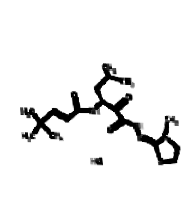 CC(C)C[C@H](NC(=O)/C=C/C(C)(C)C)C(=O)C(=O)NN=C1SCCN1C.Cl